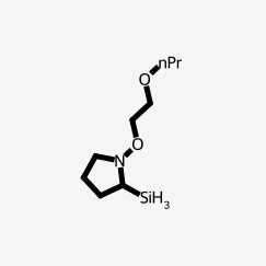 CCCOCCON1CCCC1[SiH3]